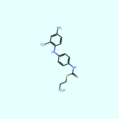 O=C(O)CCSC(=S)Nc1ccc(Nc2ccc([N+](=O)[O-])cc2[N+](=O)[O-])cc1